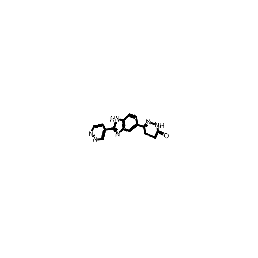 O=C1CCC(c2ccc3[nH]c(-c4ccnnc4)nc3c2)=NN1